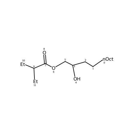 CCCCCCCCCCC(O)COC(=O)C(CC)CC